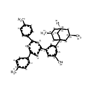 Cc1ccc(-c2nc(-c3ccc(C)cc3)nc(-c3cc(C#N)cc(C45C[C@H](C)C[C@H](C[C@H](C)C4)C5)c3)n2)cc1